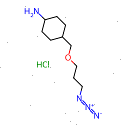 Cl.[N-]=[N+]=NCCCOCC1CCC(N)CC1